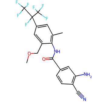 COCc1cc(C(F)(C(F)(F)F)C(F)(F)F)cc(C)c1NC(=O)c1ccc(C#N)c(N)c1